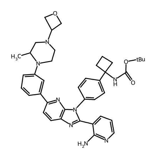 CC1CN(C2COC2)CCN1c1cccc(-c2ccc3nc(-c4cccnc4N)n(-c4ccc(C5(NC(=O)OC(C)(C)C)CCC5)cc4)c3n2)c1